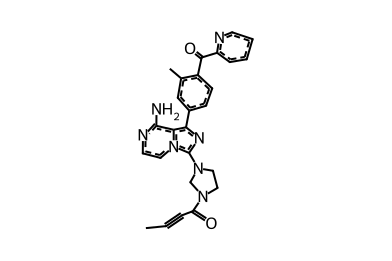 CC#CC(=O)N1CCN(c2nc(-c3ccc(C(=O)c4ccccn4)c(C)c3)c3c(N)nccn23)C1